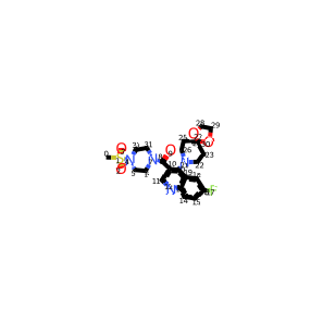 CS(=O)(=O)N1CCN(C(=O)c2cnc3ccc(F)cc3c2N2CCC3(CC2)OCCO3)CC1